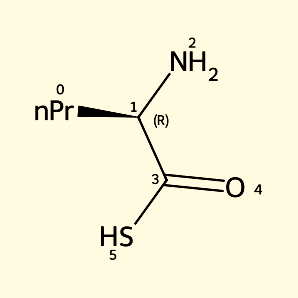 CCC[C@@H](N)C(=O)S